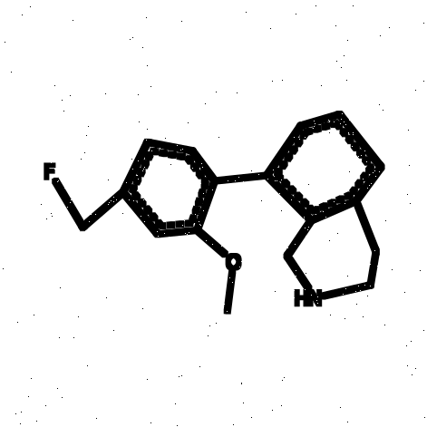 COc1cc(CF)ccc1-c1cccc2c1CNCC2